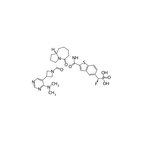 CN(C)c1ncncc1C1CN(C(=O)[C@@H]2CC[C@@H]3CCC[C@H](NC(=O)c4cc5cc([C@H](F)P(=O)(O)O)ccc5s4)C(=O)N32)C1